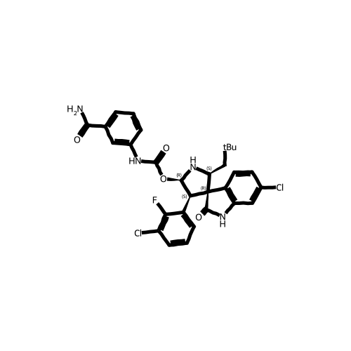 CC(C)(C)C[C@@H]1N[C@H](OC(=O)Nc2cccc(C(N)=O)c2)[C@H](c2cccc(Cl)c2F)[C@]12C(=O)Nc1cc(Cl)ccc12